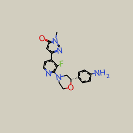 Cn1cnc(-c2ccnc(N3CCO[C@@H](c4ccc(N)cc4)C3)c2F)cc1=O